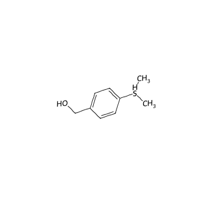 C[SH](C)c1ccc(CO)cc1